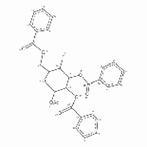 CC(=O)OC1OC(COC(=O)c2ccccc2)C(F)C(OC(=O)c2ccccc2)C1OC(=O)c1ccccc1